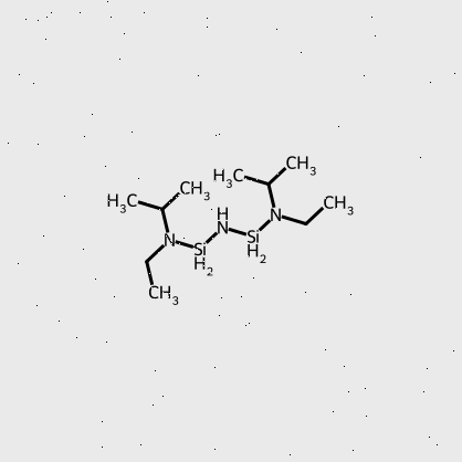 CCN([SiH2]N[SiH2]N(CC)C(C)C)C(C)C